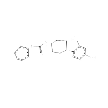 O=C(Nc1ccccc1)N[C@H]1CC[C@H](c2ccc(O)cc2O)CC1